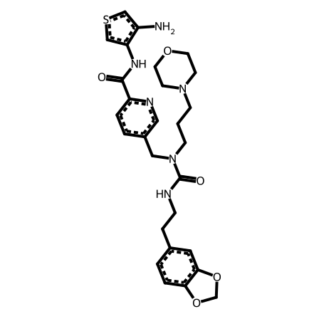 Nc1cscc1NC(=O)c1ccc(CN(CCCN2CCOCC2)C(=O)NCCc2ccc3c(c2)OCO3)cn1